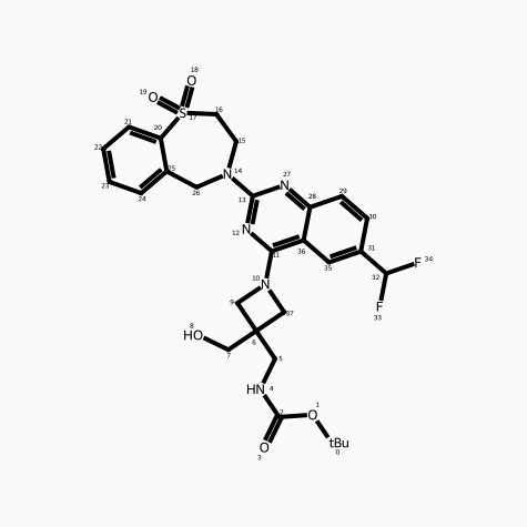 CC(C)(C)OC(=O)NCC1(CO)CN(c2nc(N3CCS(=O)(=O)c4ccccc4C3)nc3ccc(C(F)F)cc23)C1